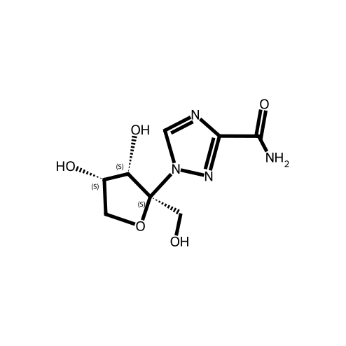 NC(=O)c1ncn([C@@]2(CO)OC[C@H](O)[C@@H]2O)n1